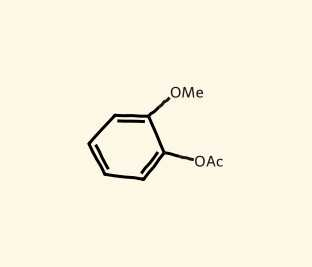 [CH2]C(=O)Oc1ccccc1OC